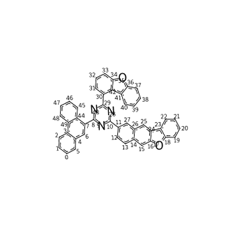 c1ccc2c(c1)cc(-c1nc(-c3ccc4cc5oc6ccccc6c5cc4c3)nc(-c3cccc4oc5ccccc5c34)n1)c1ccccc12